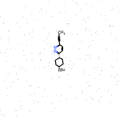 CC#Cc1ccc([C@H]2CC[C@H](CCCC)CC2)nn1